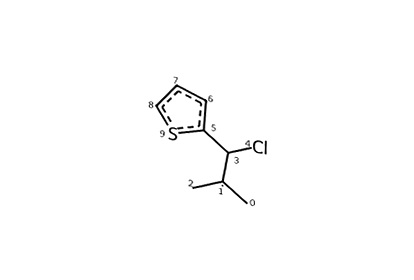 C[C](C)C(Cl)c1cccs1